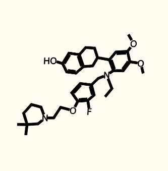 CCN(Cc1ccc(OCCN2CCCC(C)(C)C2)c(F)c1)c1cc(OC)c(OC)cc1C1CCc2cc(O)ccc2C1